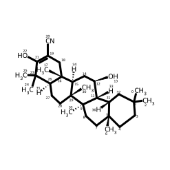 CC1(C)CC[C@]2(C)CC[C@]3(C)[C@H]([C@H](O)C[C@@H]4[C@@]5(C)CC(C#N)=C(O)C(C)(C)[C@@H]5CC[C@]43C)[C@@H]2C1